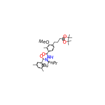 CCC[C@@H](N(NC(=O)c1ccc(CCCB2OC(C)(C)C(C)(C)O2)c(OC)c1C)C(=O)c1cc(C)cc(C)c1)C(C)(C)C